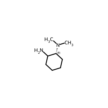 CN(C)[C@@H]1CCCCC1N